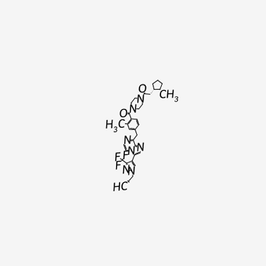 C#CCn1cc(-c2cnc3c(Cc4ccc(C(=O)N5CCN(C(=O)C[C@@H]6CCC[C@H]6C)CC5)c(C)c4)nccn23)c(C(F)(F)F)n1